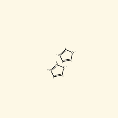 c1cocn1.c1csnn1